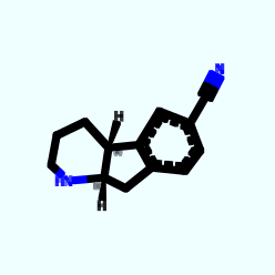 N#Cc1ccc2c(c1)[C@H]1CCCN[C@H]1C2